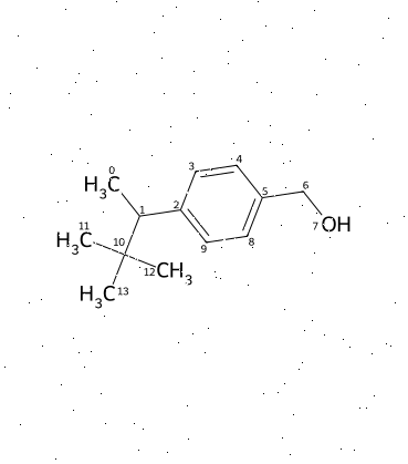 CC(c1ccc(CO)cc1)C(C)(C)C